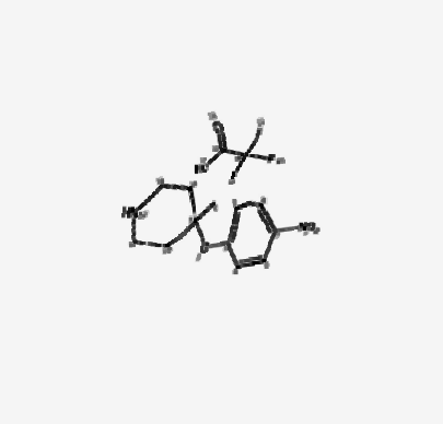 CC1(Oc2ccc([N+](=O)[O-])cc2)CCNCC1.O=C(O)C(F)(F)F